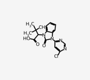 CC(C)(C)C(C(=O)O)n1c(=O)n(-c2cc(Cl)ncn2)c2ccccc21